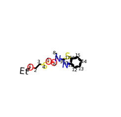 CCOCCSOON(C)c1nc2ccccc2s1